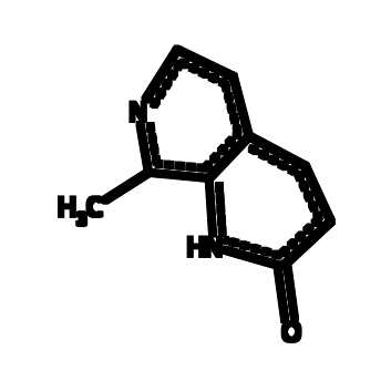 Cc1nccc2ccc(=O)[nH]c12